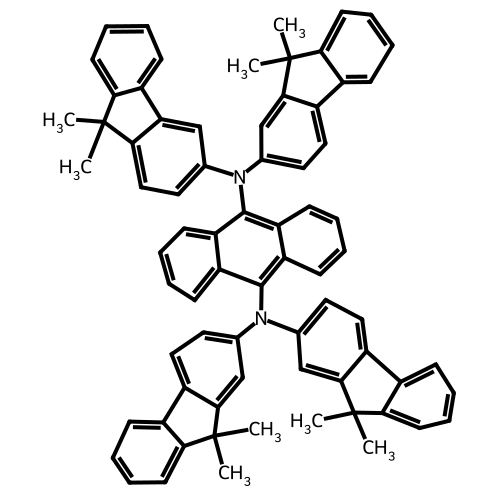 CC1(C)c2ccccc2-c2cc(N(c3ccc4c(c3)C(C)(C)c3ccccc3-4)c3c4ccccc4c(N(c4ccc5c(c4)C(C)(C)c4ccccc4-5)c4ccc5c(c4)C(C)(C)c4ccccc4-5)c4ccccc34)ccc21